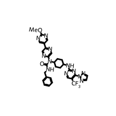 COc1ncc(-c2cnc(N(C(=O)NCc3ccccc3)C3CCC(Nc4ncc(C(F)(F)F)c(-n5nccn5)n4)CC3)cn2)cn1